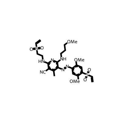 C=CS(=O)(=O)CCNc1nc(NCCCOC)c(/N=N/c2cc(OC)c(S(=O)(=O)C=C)cc2OC)c(C)c1C#N